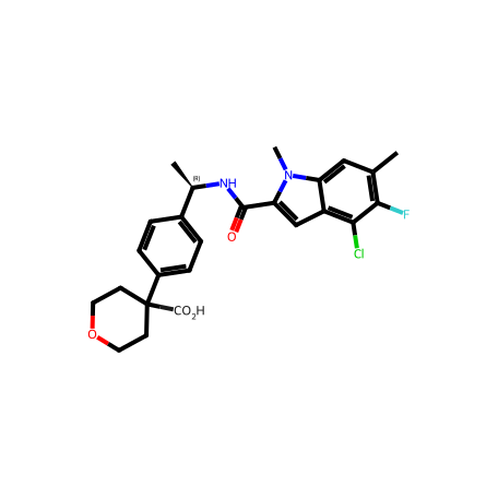 Cc1cc2c(cc(C(=O)N[C@H](C)c3ccc(C4(C(=O)O)CCOCC4)cc3)n2C)c(Cl)c1F